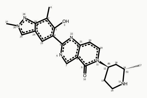 Cc1c(O)c(-c2ncc3c(=O)n([C@@H]4CCN[C@@H](C)C4)ccc3n2)cc2cn(C)nc12